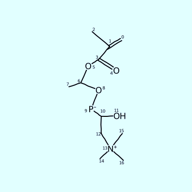 C=C(C)C(=O)OC(C)O[P-]C(O)C[N+](C)(C)C